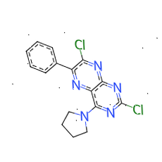 Clc1nc(N2CCCC2)c2nc(-c3ccccc3)c(Cl)nc2n1